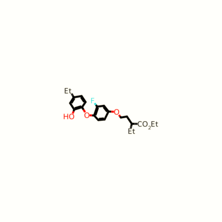 CCOC(=O)C(CC)CCOc1ccc(Oc2ccc(CC)cc2O)c(F)c1